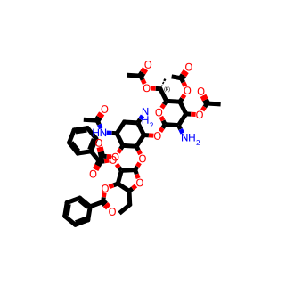 CCC1OC(OC2C(OC3OC([C@@H](C)OC(C)=O)C(OC(C)=O)C(OC(C)=O)C3N)C(N)CC(NC(C)=O)C2OC(C)=O)C(OC(=O)c2ccccc2)C1OC(=O)c1ccccc1